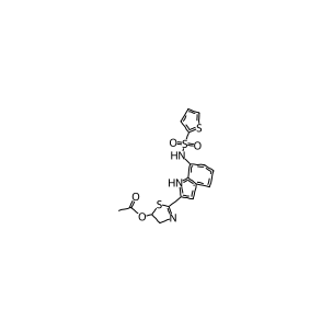 CC(=O)OC1CN=C(c2cc3cccc(NS(=O)(=O)c4cccs4)c3[nH]2)S1